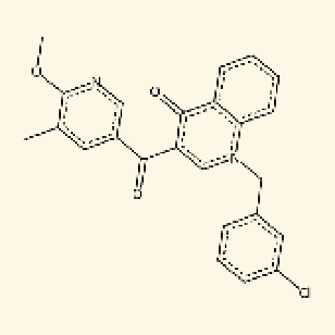 COc1ncc(C(=O)c2cn(Cc3cccc(Cl)c3)c3ccccc3c2=O)cc1C